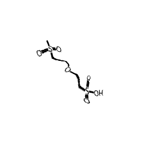 CS(=O)(=O)CCOCCS(=O)(=O)O